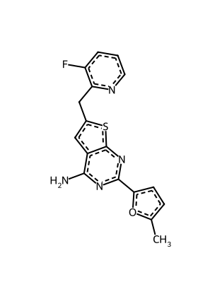 Cc1ccc(-c2nc(N)c3cc(Cc4ncccc4F)sc3n2)o1